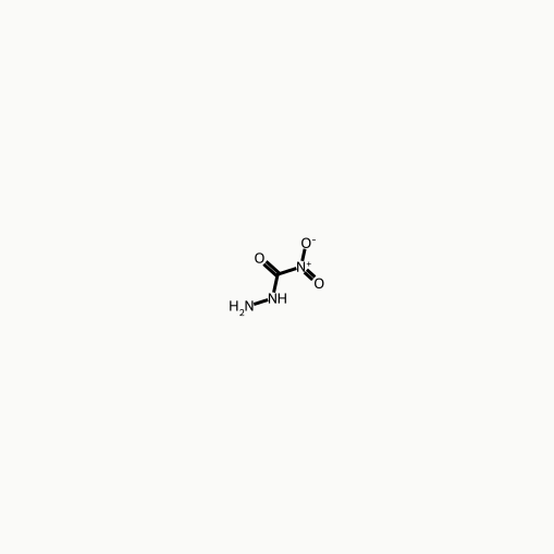 NNC(=O)[N+](=O)[O-]